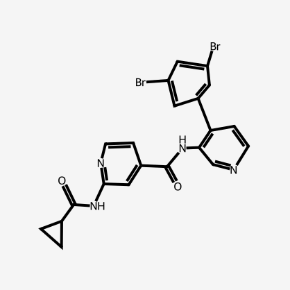 O=C(Nc1cnccc1-c1cc(Br)cc(Br)c1)c1ccnc(NC(=O)C2CC2)c1